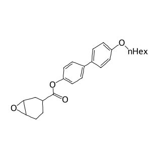 CCCCCCOc1ccc(-c2ccc(OC(=O)C3CCC4OC4C3)cc2)cc1